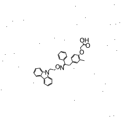 Cc1cc(CC(=NOCCn2c3ccccc3c3ccccc32)c2ccccc2)ccc1OCC(=O)O